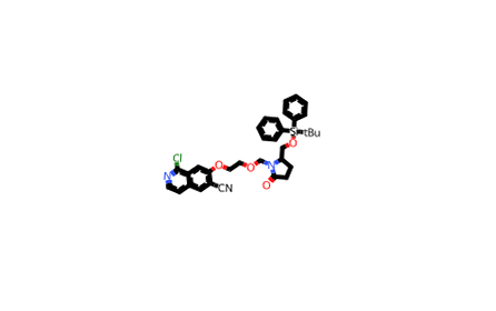 CC(C)(C)[Si](OCC1CCC(=O)N1COCCOc1cc2c(Cl)nccc2cc1C#N)(c1ccccc1)c1ccccc1